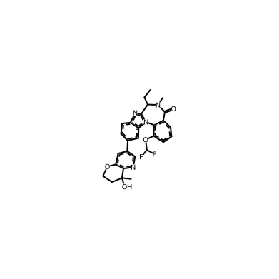 CCC1c2nc3ccc(-c4cnc5c(c4)OCCC5(C)O)cc3n2-c2c(OC(F)F)cccc2C(=O)N1C